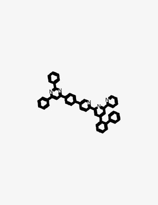 c1ccc(-c2cc(-c3ccc(-c4ccc(-c5cc(-c6ccccc6-c6ccccc6)cc(-c6ccccn6)n5)nc4)cc3)nc(-c3ccccc3)n2)cc1